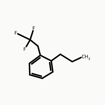 CCCc1ccccc1CC(F)(F)F